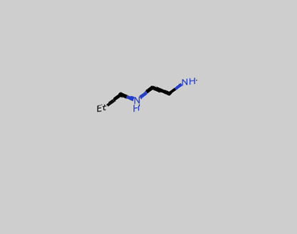 CCCNCC[NH]